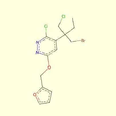 CCC(CCl)(CBr)c1cc(OCc2ccco2)nnc1Cl